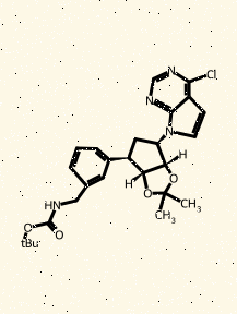 CC(C)(C)OC(=O)NCc1cccc([C@H]2C[C@@H](n3ccc4c(Cl)ncnc43)[C@@H]3OC(C)(C)O[C@@H]32)c1